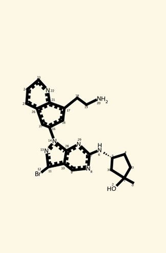 CC1(O)CC[C@@H](Nc2ncc3c(Br)nn(-c4cc(CCN)c5ncccc5c4)c3n2)C1